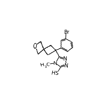 Cn1c(S)nnc1C1(c2cccc(Br)c2)CC2(COC2)C1